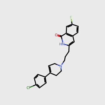 O=c1[nH]c(CCCN2CC=C(c3ccc(Cl)cc3)CC2)cc2ccc(F)cc12